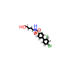 O=S(=O)(NCCCCO)c1ccc(-c2ccc(Br)cc2F)cc1